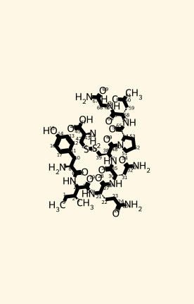 CC[C@H](C)C(NC(=O)[C@@H](N)Cc1ccc(O)cc1)C(=O)N[C@@H](CCC(N)=O)C(=O)N[C@@H](CC(N)=O)C(=O)N[C@@H](CSSC[C@H](N)C(=O)O)C(=O)N1CCC[C@H]1C(=O)N[C@@H](CC(C)C)C(=O)NCC(N)=O